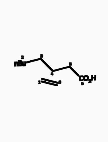 C=C.[CH2]CCCCCCC(=O)O